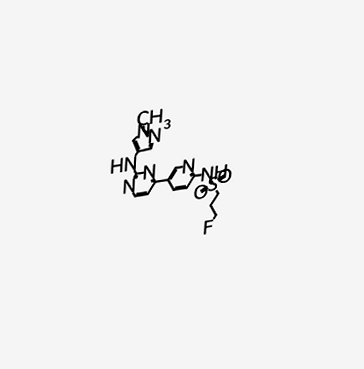 Cn1cc(Nc2nccc(-c3ccc(NS(=O)(=O)CCCF)nc3)n2)cn1